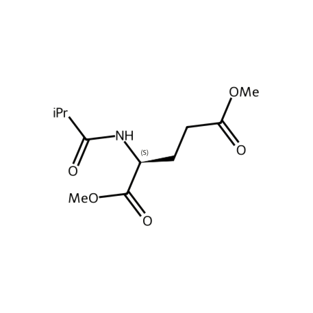 COC(=O)CC[C@H](NC(=O)C(C)C)C(=O)OC